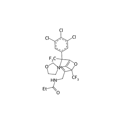 CCC(=O)NCC1=CC(c2cc(Cl)c(Cl)c(Cl)c2)(C(F)(F)F)C2=C(N3CCOC3)C1(C(F)(F)F)O2